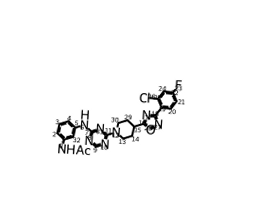 CC(=O)Nc1cccc(Nc2ncnc(N3CCC(c4nc(-c5ccc(F)cc5Cl)no4)CC3)n2)c1